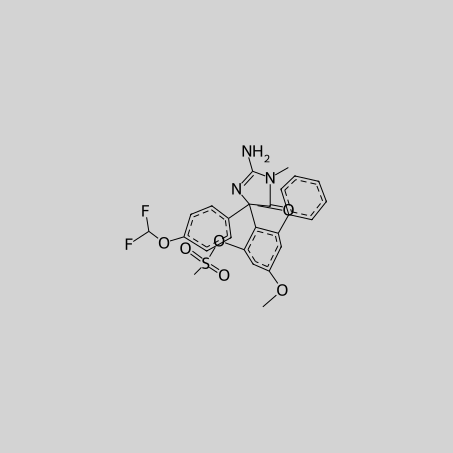 COc1cc(OS(C)(=O)=O)c(C2(c3ccc(OC(F)F)cc3)N=C(N)N(C)C2=O)c(-c2ccccc2)c1